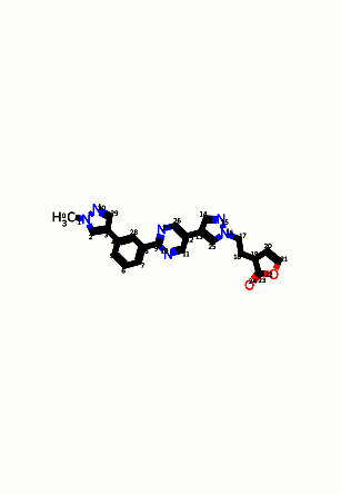 Cn1cc(-c2cccc(-c3ncc(-c4cnn(CCC5C=COC5=O)c4)cn3)c2)cn1